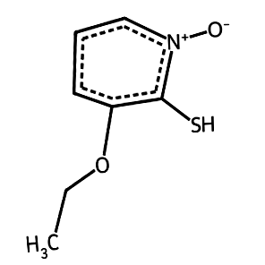 CCOc1ccc[n+]([O-])c1S